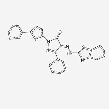 O=C1/C(=N/Nc2nc3ccccc3s2)C(c2ccccc2)=NN1c1nc(-c2ccccc2)cs1